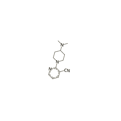 CN(C)C1CCN(c2ncccc2C#N)CC1